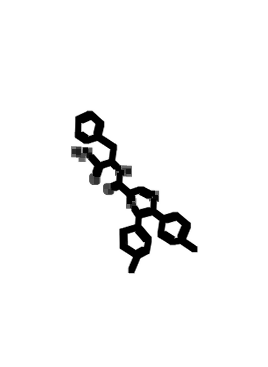 Cc1ccc(-c2ncc(C(=O)NC(Cc3ccccc3)C(N)=O)nc2-c2ccc(C)cc2)cc1